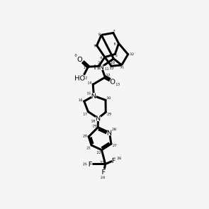 O=C(O)CC12CC3CC(C1)C(NC(=O)CN1CCN(c4ccc(C(F)(F)F)cn4)CC1)C(C3)C2